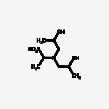 CC(O)CN(CC(C)O)C(C)S(=O)(=O)O